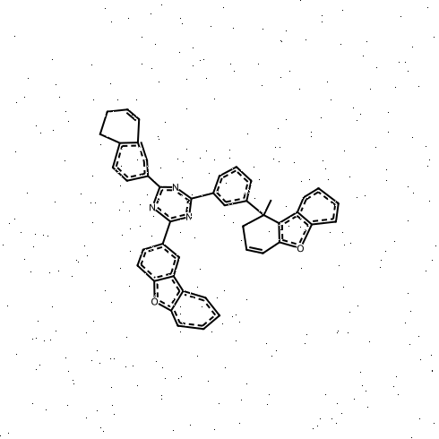 CC1(c2cccc(-c3nc(-c4ccc5c(c4)C=CCC5)nc(-c4ccc5oc6ccccc6c5c4)n3)c2)CC=Cc2oc3ccccc3c21